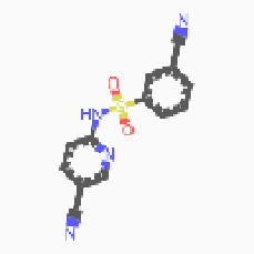 N#Cc1ccc(NS(=O)(=O)c2cccc(C#N)c2)nc1